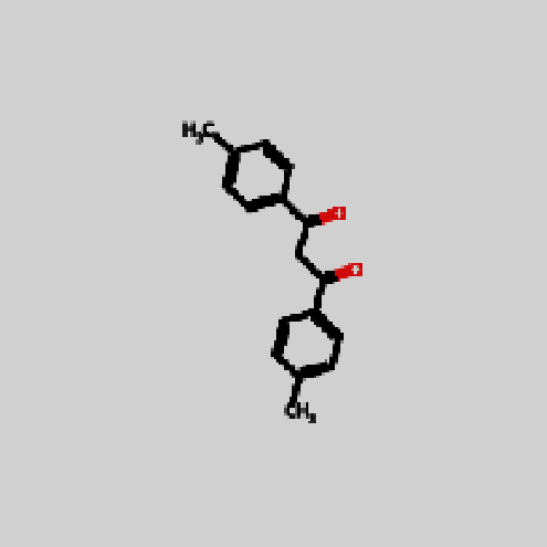 Cc1ccc(C(=O)CC(=O)c2ccc(C)cc2)cc1